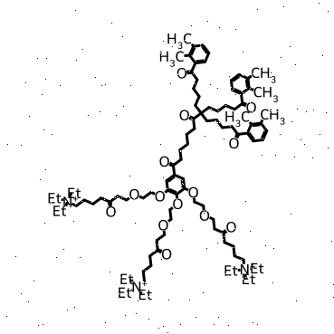 CC[N+](CC)(CC)CCCCC(=O)CCOCCOc1cc(C(=O)CCCCCC(=O)C(CCCCC(=O)c2cccc(C)c2C)(CCCCC(=O)c2cccc(C)c2C)CCCCC(=O)c2cccc(C)c2C)cc(OCCOCCC(=O)CCCC[N+](CC)(CC)CC)c1OCCOCCC(=O)CCCC[N+](CC)(CC)CC